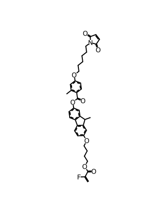 C=C(F)C(=O)OCCCCOc1ccc2c(c1)C(C)c1cc(OC(=O)c3ccc(OCCCCCCN4C(=O)C=CC4=O)cc3C)ccc1-2